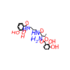 C[C@@H](OC(=O)c1cccc(O)c1O)[C@H](N)C(=O)NCCCNC(=O)c1cccc(O)c1O